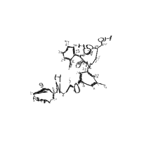 Cc1cc(OCCNc2ccnnc2)cc(N(CC(O)CO)S(=O)(=O)c2ccccc2F)c1